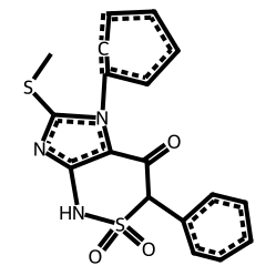 CSc1nc2c(n1-c1ccccc1)C(=O)C(c1ccccc1)S(=O)(=O)N2